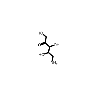 NCC(O)C(O)C(=O)CO